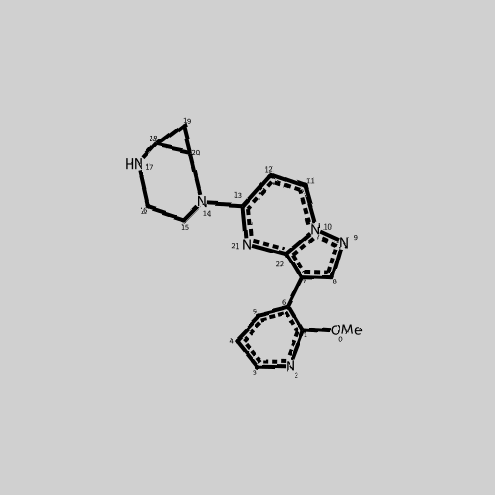 COc1ncccc1-c1cnn2ccc(N3CCNC4CC43)nc12